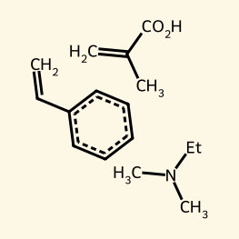 C=C(C)C(=O)O.C=Cc1ccccc1.CCN(C)C